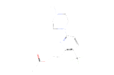 CC(=O)OCCc1nc(N2CCN(C)CC2)ccc1C(F)(F)F